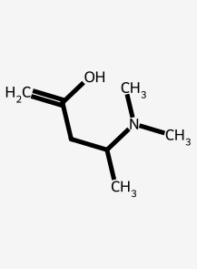 C=C(O)CC(C)N(C)C